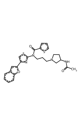 CC(=O)NC1CCN(CCCN(C(=O)c2cccs2)c2nc(-c3cc4ccccc4o3)cs2)C1